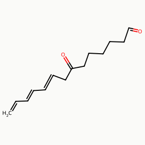 C=CC=CC=CCC(=O)CCCCCC=O